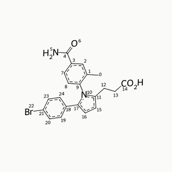 Cc1cc(C(N)=O)ccc1-n1c(CCC(=O)O)ccc1-c1ccc(Br)cc1